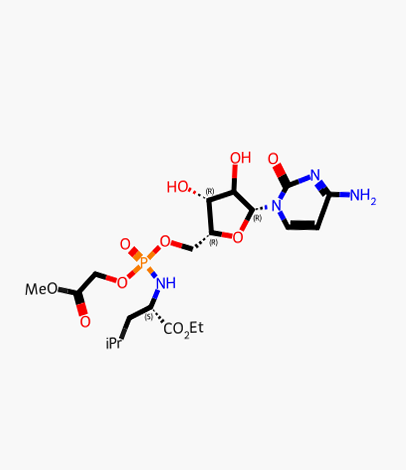 CCOC(=O)[C@H](CC(C)C)NP(=O)(OCC(=O)OC)OC[C@H]1O[C@@H](n2ccc(N)nc2=O)C(O)[C@H]1O